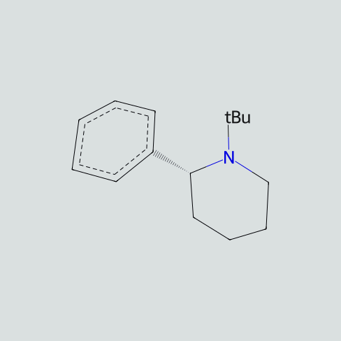 CC(C)(C)N1CCCC[C@@H]1c1ccccc1